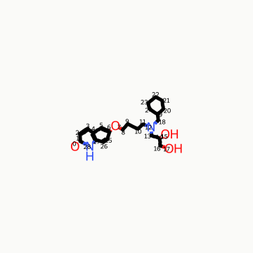 O=c1ccc2cc(OCCCCN(CC(O)CO)CC3CCCCC3)ccc2[nH]1